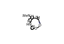 CNc1ncc2c3cc(ncc13)Nc1cccc(n1)OCCO/C=C/c1cc-2nn1C